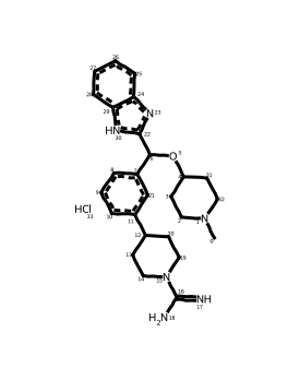 CN1CCC(OC(c2cccc(C3CCN(C(=N)N)CC3)c2)c2nc3ccccc3[nH]2)CC1.Cl